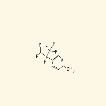 Cc1ccc(C(F)(C(F)F)C(F)(F)F)cc1